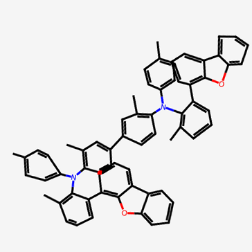 Cc1ccc(N(c2ccc(-c3ccc(N(c4ccc(C)cc4)c4c(C)cccc4-c4cccc5c4oc4ccccc45)c(C)c3)cc2C)c2c(C)cccc2-c2cccc3c2oc2ccccc23)cc1